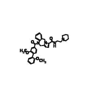 COc1ccccc1-c1ccc(C(=O)N2Cc3ccc(C(=O)NCCN4CCCCC4)n3Cc3ccccc32)cc1OC